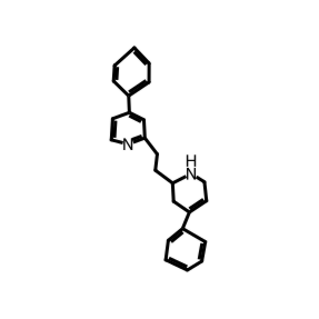 C1=C(c2ccccc2)CC(CCc2cc(-c3ccccc3)ccn2)NC1